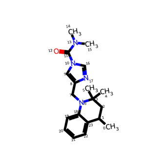 CC1CC(C)(C)N(Cc2cn(C(=O)N(C)C)cn2)c2ccccc21